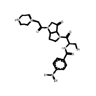 CCN(CC)c1ccc(C(=O)NC(CC(C)C)C(=O)N2CCC3C2C(=O)CN3C(=O)CN2CCNCC2)cc1